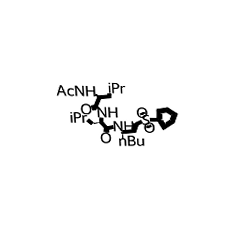 CCCC[C@@H](C=CS(=O)(=O)c1ccccc1)NC(=O)[C@H](CC(C)C)NC(=O)[C@H](CC(C)C)NC(C)=O